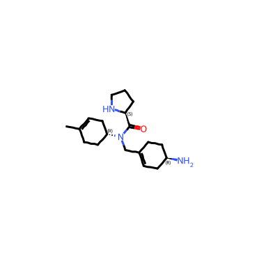 CC1=CC[C@H](N(CC2=CC[C@H](N)CC2)C(=O)[C@@H]2CCCN2)CC1